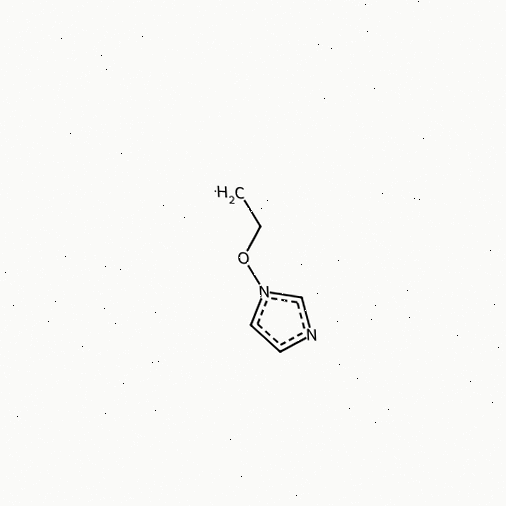 [CH2]COn1ccnc1